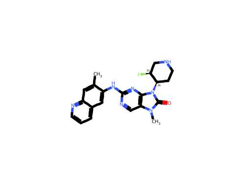 Cc1cc2ncccc2cc1Nc1ncc2c(n1)n([C@@H]1CCNC[C@@H]1F)c(=O)n2C